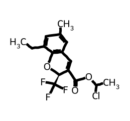 CCc1cc(C)cc2c1O[C@H](C(F)(F)F)C(C(=O)OC(C)Cl)=C2